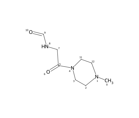 CN1CCN(C(=O)CNC=O)CC1